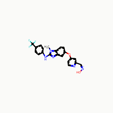 Cn1c(Nc2ccc(C(F)(F)F)cc2)nc2cc(Oc3ccnc(/C=N\O)c3)ccc21